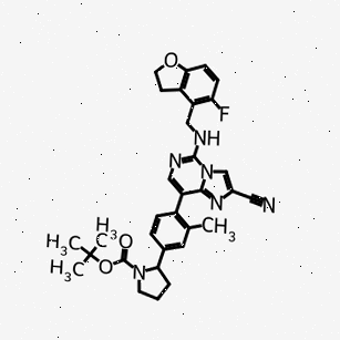 Cc1cc(C2CCCN2C(=O)OC(C)(C)C)ccc1-c1cnc(NCc2c(F)ccc3c2CCO3)n2cc(C#N)nc12